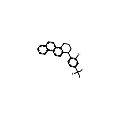 FC(F)(F)c1ccc(C2CCCc3c2ccc2c3ccc3ccccc32)c(Br)c1